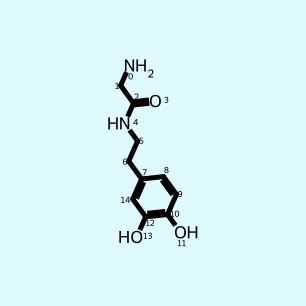 NCC(=O)NCCc1ccc(O)c(O)c1